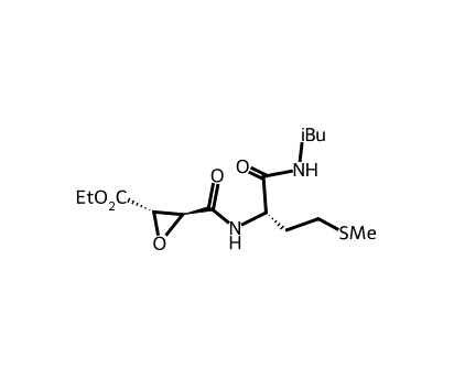 CCOC(=O)[C@H]1O[C@@H]1C(=O)N[C@@H](CCSC)C(=O)NC(C)CC